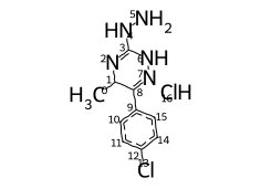 CC1N=C(NN)NN=C1c1ccc(Cl)cc1.Cl